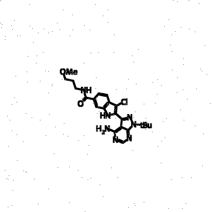 COCCCNC(=O)c1ccc2c(Cl)c(-c3nn(C(C)(C)C)c4ncnc(N)c34)[nH]c2c1